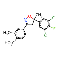 Cc1cc(C2=NOC(C)(c3cc(Cl)c(F)c(Cl)c3)C2)ccc1C(=O)O